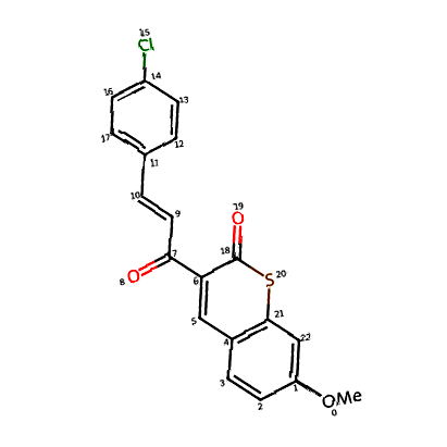 COc1ccc2cc(C(=O)C=Cc3ccc(Cl)cc3)c(=O)sc2c1